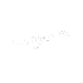 CC[C@@H]1CCCN1Cc1cc(NC(=O)c2ccc(N3CCC(OC)(C(=O)O)CC3)cc2)ncc1-c1ccc(OC(F)(F)F)cc1